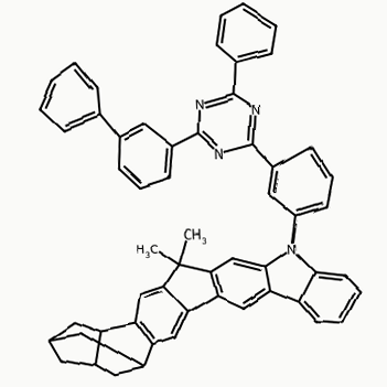 CC1(C)c2cc3c(cc2-c2cc4c5ccccc5n(-c5cccc(-c6nc(-c7ccccc7)nc(-c7cccc(-c8ccccc8)c7)n6)c5)c4cc21)C1CC2CC(C1)C3C2